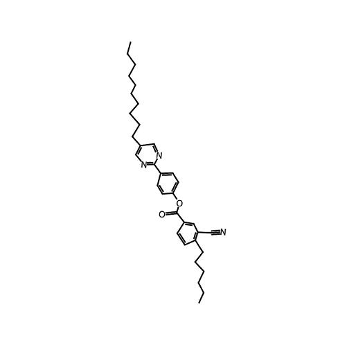 CCCCCCCCCCc1cnc(-c2ccc(OC(=O)c3ccc(CCCCCC)c(C#N)c3)cc2)nc1